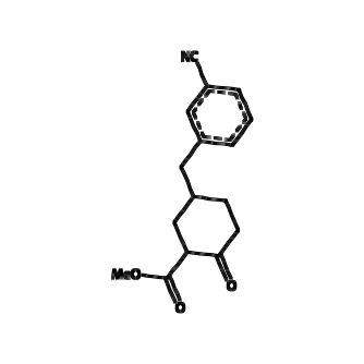 COC(=O)C1CC(Cc2cccc(C#N)c2)CCC1=O